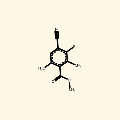 COC(=O)c1c(C)cc(C#N)c(F)c1C